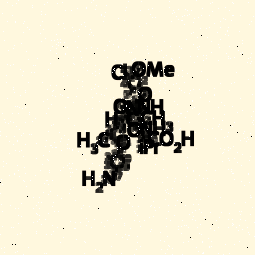 COc1ccc(C[C@@H]2C(=O)NC(C(C)(C)C(=O)N[C@@H](CC(C)C)C(=O)O)N2C(=O)/C=C/CC[C@H](C)C2OC2c2ccc(CN)cc2)cc1Cl